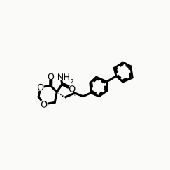 NC(=O)[C@@]1(C[CH]Cc2ccc(-c3ccccc3)cc2)COCOC1=O